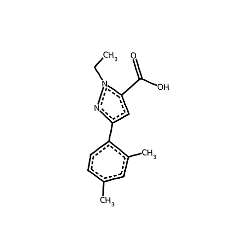 CCn1nc(-c2ccc(C)cc2C)cc1C(=O)O